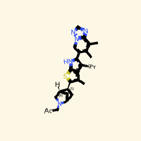 CC(=O)CN1C[C@@H]2CC1C[C@@H]2c1sc2[nH]c(-c3cn4ncnc4c(C)c3C)c(C(C)C)c2c1C